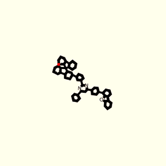 c1ccc(-c2cc(-c3ccc(-c4cccc5c4oc4ccccc45)cc3)nc(-c3cccc(-c4ccc5c(c4)C4(c6ccccc6-c6ccccc64)c4ccccc4-5)c3)n2)cc1